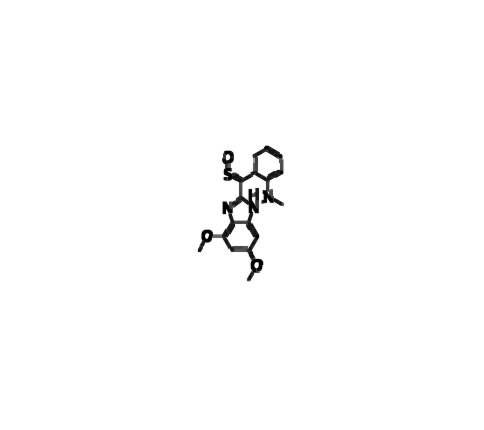 COc1cc(OC)c2nc(C(=S=O)c3ccccc3N(C)C)[nH]c2c1